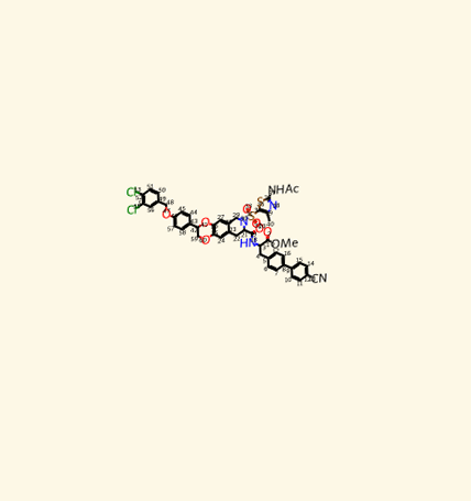 COC(=O)C(Cc1ccc(-c2ccc(C#N)cc2)cc1)NC(=O)C1Cc2cc3c(cc2CN1S(=O)(=O)c1sc(NC(C)=O)nc1C)OC(c1ccc(OCc2ccc(Cl)c(Cl)c2)cc1)CO3